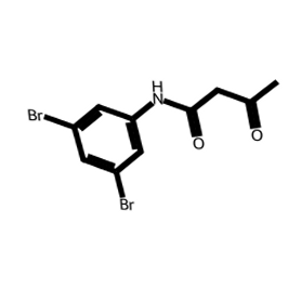 CC(=O)CC(=O)Nc1cc(Br)cc(Br)c1